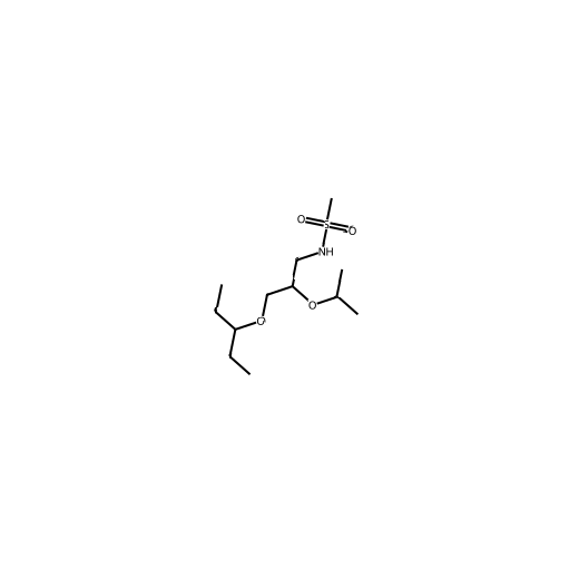 CCC(CC)OCC(CNS(C)(=O)=O)OC(C)C